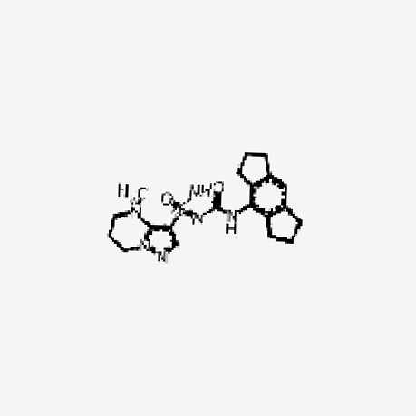 CN1CCCn2ncc([S@@](N)(=O)=NC(=O)Nc3c4c(cc5c3CCC5)CCC4)c21